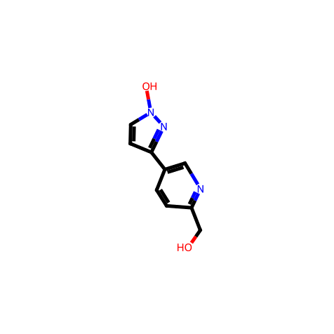 OCc1ccc(-c2ccn(O)n2)cn1